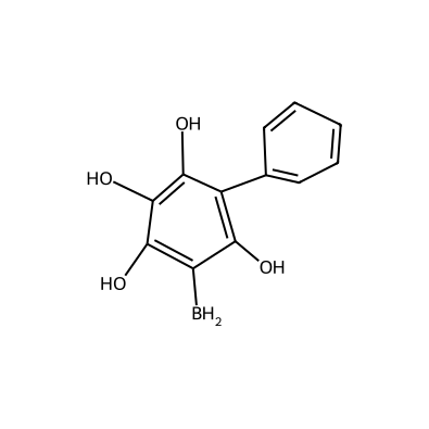 Bc1c(O)c(O)c(O)c(-c2ccccc2)c1O